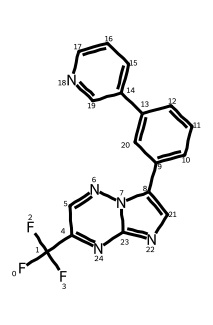 FC(F)(F)c1cnn2c(-c3cccc(-c4cccnc4)c3)cnc2n1